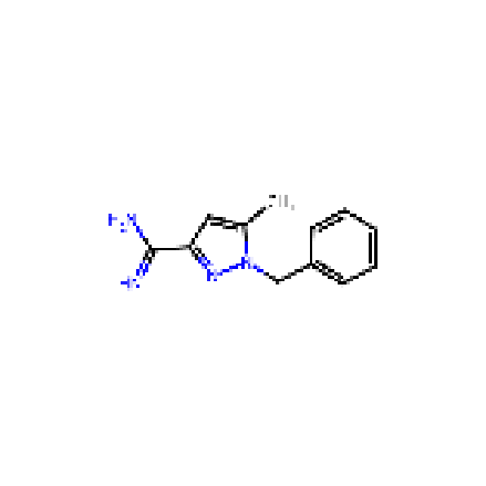 Cc1cc(C(=N)N)nn1Cc1ccccc1